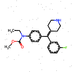 CCN(C(=O)OC)c1ccc(C(=C2CCNCC2)c2cccc(F)c2)cc1